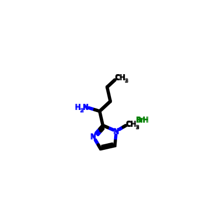 Br.CCCC(N)c1nccn1C